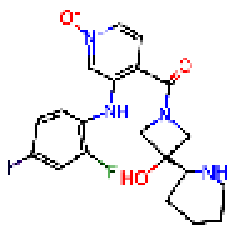 O=C(c1cc[n+]([O-])cc1Nc1ccc(I)cc1F)N1CC(O)([C@@H]2CCCCN2)C1